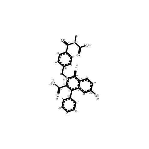 CN(C(=O)O)C(=O)c1ccc(Cn2c(C(=O)O)c(-c3ccccc3)c3cc(Br)ccc3c2=O)cc1